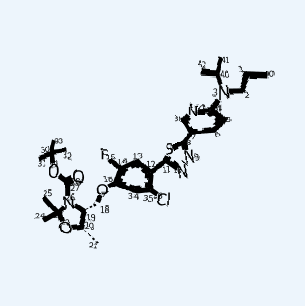 C=CCN(c1ccc(-c2nnc(-c3cc(F)c(OC[C@@H]4[C@H](C)OC(C)(C)N4C(=O)OC(C)(C)C)cc3Cl)s2)cn1)C(C)C